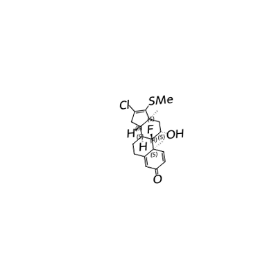 CSC1=C(Cl)C[C@H]2[C@@H]3CCC4=CC(=O)C=C[C@]4(C)[C@@]3(F)[C@@H](O)C[C@]12C